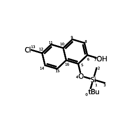 CC(C)(C)[Si](C)(C)Oc1c(O)ccc2cc(Cl)ccc12